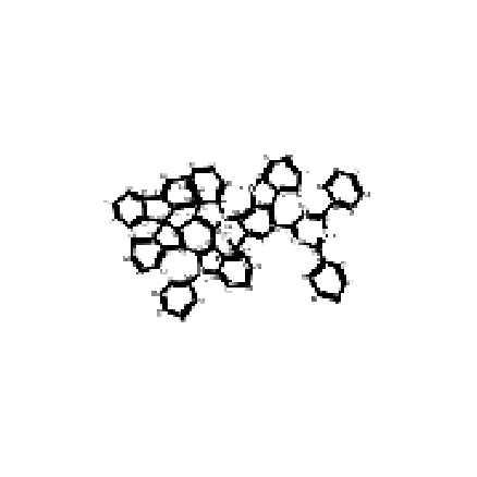 FC(F)(F)c1cc(-c2nc(-c3ccccc3)nc(-c3ccccc3)n2)c2c(oc3ccccc32)c1-n1c2ccccc2c2c3c(c4c(c5ccccc5n4-c4ccccc4)c21)-c1ccccc1C31c2ccccc2-c2ccccc21